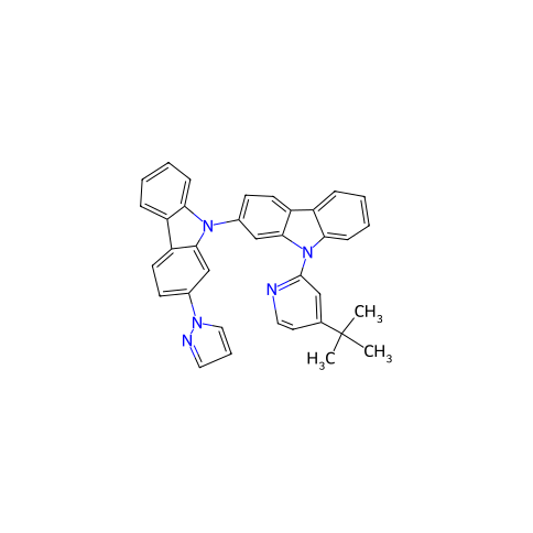 CC(C)(C)c1ccnc(-n2c3ccccc3c3ccc(-n4c5ccccc5c5ccc(-n6cccn6)cc54)cc32)c1